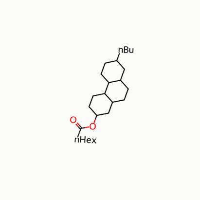 CCCCCCC(=O)OC1CCC2C(CCC3CC(CCCC)CCC32)C1